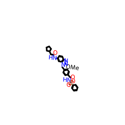 COc1cc(C(=O)NS(=O)(=O)c2ccccc2)ccc1Cn1nnc2ccc(NC(=O)CC3CCCC3)cc21